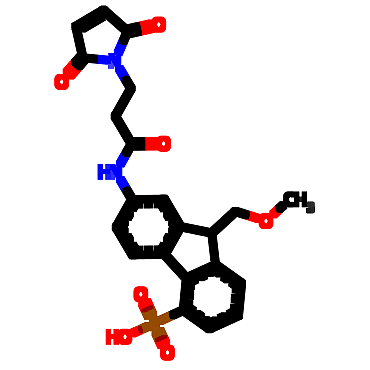 COCC1c2cc(NC(=O)CCN3C(=O)C=CC3=O)ccc2-c2c1cccc2S(=O)(=O)O